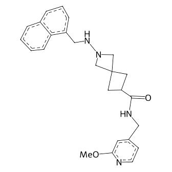 COc1cc(CNC(=O)C2CC3(C2)CN(NCc2cccc4ccccc24)C3)ccn1